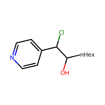 CCCCCCC(O)C(Cl)c1ccncc1